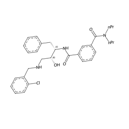 CCCN(CCC)C(=O)c1cccc(C(=O)N[C@@H](Cc2ccccc2)[C@H](O)CNCc2ccccc2Cl)c1